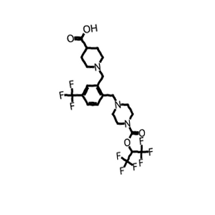 O=C(O)C1CCN(Cc2cc(C(F)(F)F)ccc2CN2CCN(C(=O)OC(C(F)(F)F)C(F)(F)F)CC2)CC1